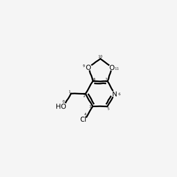 OCc1c(Cl)cnc2c1OCO2